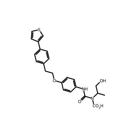 CC(CO)N(C(=O)O)C(=O)Nc1ccc(OCCc2ccc(-c3ccsc3)cc2)cc1